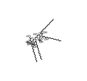 CCCCCCCCCCC[C@@H](O)CC(=O)N[C@@H]1C(OP(C)(=O)O)OC(CO[C@@H]2OC(CO)C(OP(=O)(O)O)C(OC(=O)C[C@H](O)CCCCCCCCCCC)[C@@H]2NC(=O)C[C@H](O)CCCCCCCCCCC)[C@@H](O)C1OC(=O)C[C@H](O)CCCCCCCCCCC